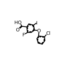 O=C(O)c1cc(I)c(Oc2ccccc2Cl)cc1F